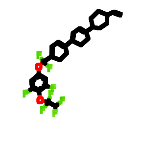 C=CC1CCC(C2=CC=C(C3=CC=C(C(F)(F)Oc4cc(F)c(OC(F)(F)C(F)F)c(F)c4)CC3)CC2)CC1